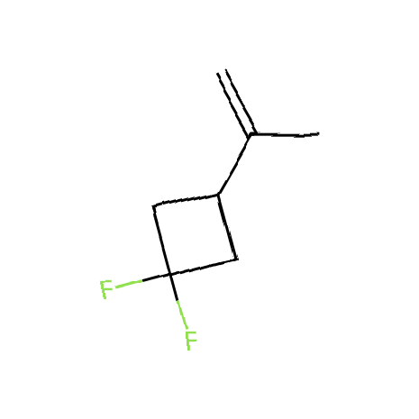 C=C(C)C1CC(F)(F)C1